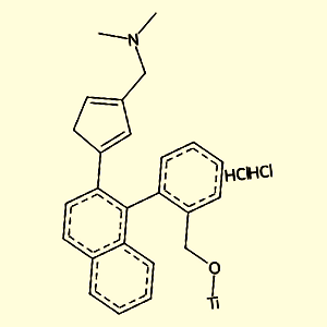 CN(C)CC1=CCC(c2ccc3ccccc3c2-c2ccccc2C[O][Ti])=C1.Cl.Cl